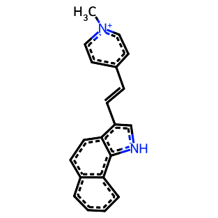 C[n+]1ccc(/C=C/c2c[nH]c3c2ccc2ccccc23)cc1